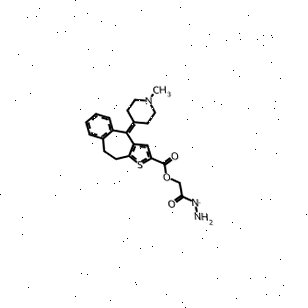 CN1CCC(=C2c3ccccc3CCc3sc(C(=O)OCC(=O)[N]N)cc32)CC1